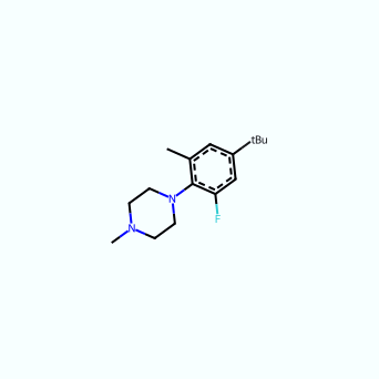 Cc1cc(C(C)(C)C)cc(F)c1N1CCN(C)CC1